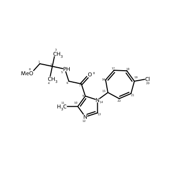 COCC(C)(C)PCC(=O)c1c(C)ncn1C1C=CC=C(Cl)C=C1